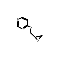 c1cc(OCC2CO2)ncn1